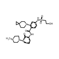 CN1CCN(n2cccc(NC(=O)c3ccc(NS(=O)(=O)CCO)cc3N3CCC4(CC3)CC4)c2=O)CC1